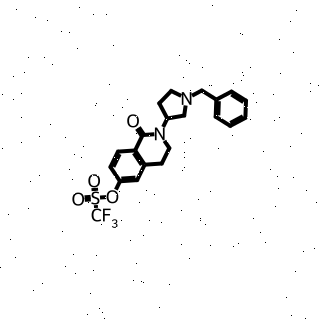 O=C1c2ccc(OS(=O)(=O)C(F)(F)F)cc2CCN1C1CCN(Cc2ccccc2)C1